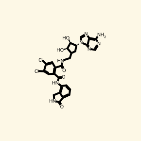 Nc1ncnc2c1ncn2[C@@H]1CC(CNC(=O)c2cc(Cl)c(Cl)cc2C(=O)Nc2cccc3c2CNC3=O)[C@@H](O)[C@H]1O